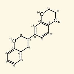 c1ccc2c(c1)CC(c1ccc3c(c1)OCCO3)CO2